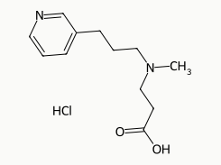 CN(CCCc1cccnc1)CCC(=O)O.Cl